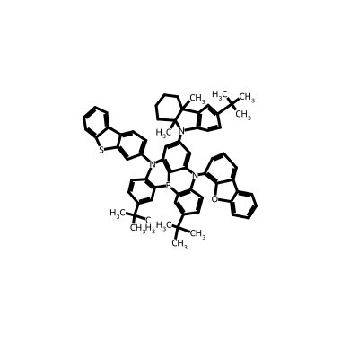 CC(C)(C)c1ccc2c(c1)B1c3cc(C(C)(C)C)ccc3N(c3cccc4c3oc3ccccc34)c3cc(N4c5ccc(C(C)(C)C)cc5C5(C)CCCCC45C)cc(c31)N2c1ccc2c(c1)sc1ccccc12